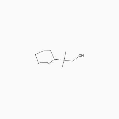 CC(C)(CO)C1C=CCCC1